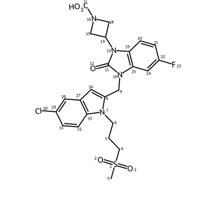 CS(=O)(=O)CCCn1c(Cn2c(=O)n(C3CN(C(=O)O)C3)c3ccc(F)cc32)cc2cc(Cl)ccc21